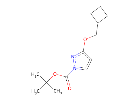 CC(C)(C)OC(=O)n1ccc(OCC2CCC2)n1